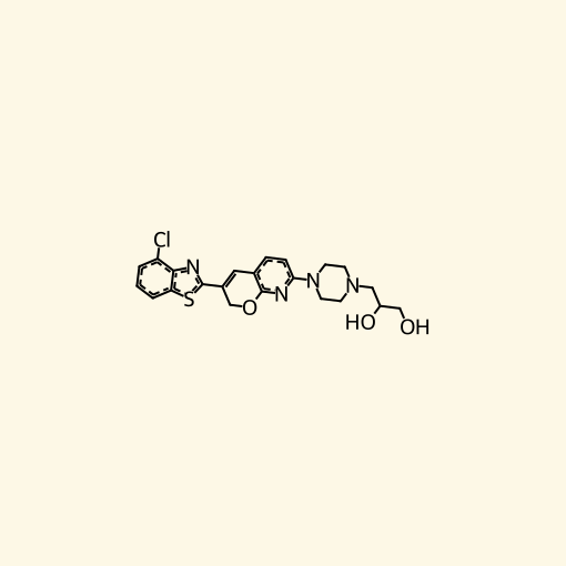 OCC(O)CN1CCN(c2ccc3c(n2)OCC(c2nc4c(Cl)cccc4s2)=C3)CC1